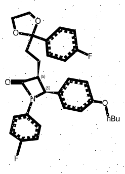 CCCCOc1ccc([C@@H]2[C@H](CCC3(c4ccc(F)cc4)OCCO3)C(=O)N2c2ccc(F)cc2)cc1